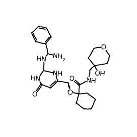 NC(NC1NC(=O)C=C(COC2(C(=O)NCC3(O)CCOCC3)CCCCC2)N1)c1ccccc1